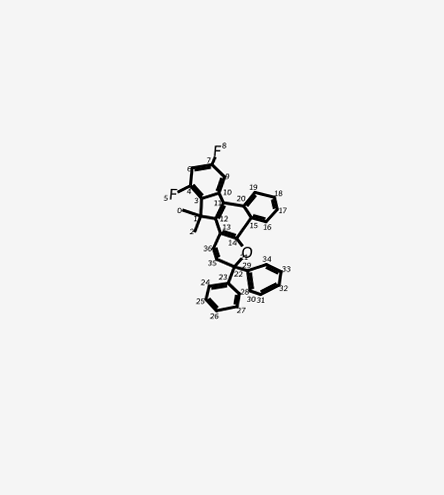 CC1(C)c2c(F)cc(F)cc2-c2c1c1c(c3ccccc23)OC(c2ccccc2)(c2ccccc2)C=C1